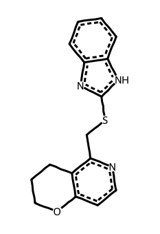 c1ccc2[nH]c(SCc3nccc4c3CCCO4)nc2c1